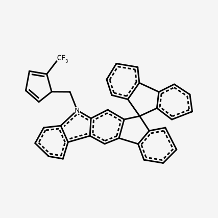 FC(F)(F)C1=CC=CC1Cn1c2ccccc2c2cc3c(cc21)C1(c2ccccc2-c2ccccc21)c1ccccc1-3